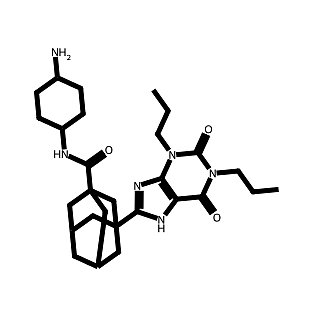 CCCn1c(=O)c2[nH]c(C34CC5CC(CC(C(=O)NC6CCC(N)CC6)(C5)C3)C4)nc2n(CCC)c1=O